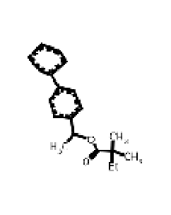 CCC(C)(C)C(=O)OC(C)c1ccc(-c2ccccc2)cc1